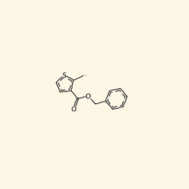 [CH2]c1sccc1C(=O)OCc1ccccc1